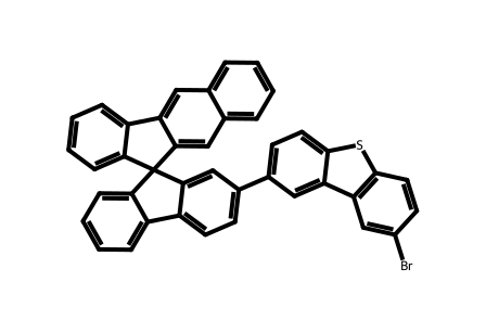 Brc1ccc2sc3ccc(-c4ccc5c(c4)C4(c6ccccc6-5)c5ccccc5-c5cc6ccccc6cc54)cc3c2c1